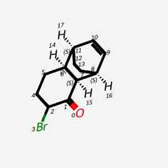 O=C1C(Br)CC[C@@H]2[C@H]1[C@@H]1C=C[C@H]2CC1